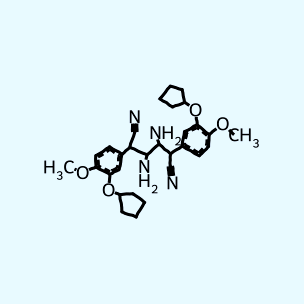 COc1ccc(C(C#N)C(N)C(N)C(C#N)c2ccc(OC)c(OC3CCCC3)c2)cc1OC1CCCC1